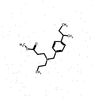 CCCN(CCC(=O)OC)Cc1ccc(C(C)CC)cc1